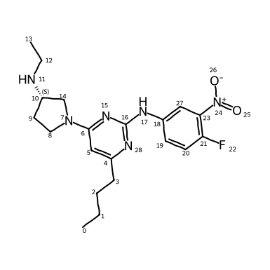 CCCCc1cc(N2CC[C@H](NCC)C2)nc(Nc2ccc(F)c([N+](=O)[O-])c2)n1